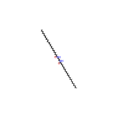 CCCCCCCCCCCCCCCCCCCCCCCCCC(=O)NCCCNC(=O)CCCCCCCCCCCCCCCCCCCCCCCCC